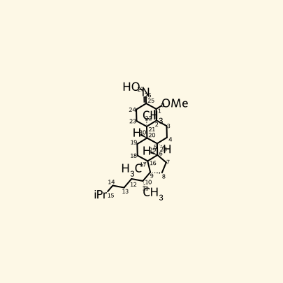 COC1=C2CC[C@H]3[C@@H]4CC[C@H]([C@H](C)CCCC(C)C)[C@@]4(C)CC[C@@H]3[C@@]2(C)CCC1=NO